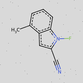 Cc1cccc2c1cc(C#N)n2F